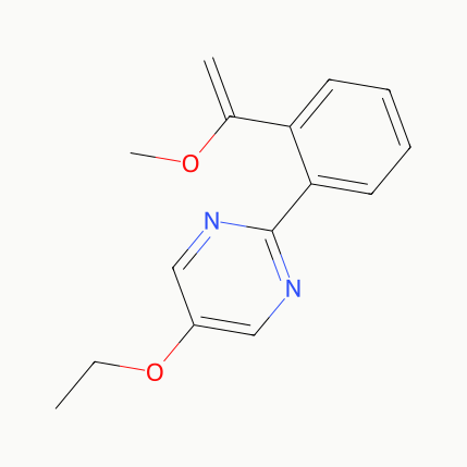 C=C(OC)c1ccccc1-c1ncc(OCC)cn1